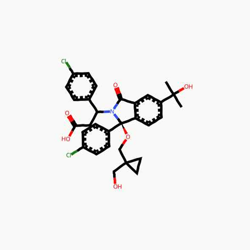 CC(C)(O)c1ccc2c(c1)C(=O)N(C(CC(=O)O)c1ccc(Cl)cc1)[C@@]2(OCC1(CO)CC1)c1ccc(Cl)cc1